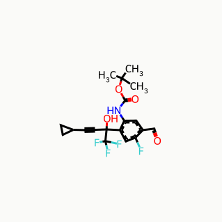 CC(C)(C)OC(=O)Nc1cc(C=O)c(F)cc1C(O)(C#CC1CC1)C(F)(F)F